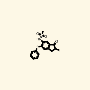 CS(=O)(=O)Nc1cc2c(cc1Sc1ccccc1)CC(I)C2=O